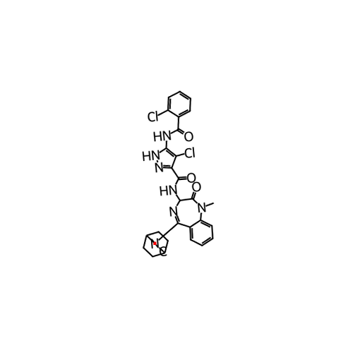 CN1C(=O)C(NC(=O)c2n[nH]c(NC(=O)c3ccccc3Cl)c2Cl)N=C(N2CC3CCC(CC3)C2)c2ccccc21